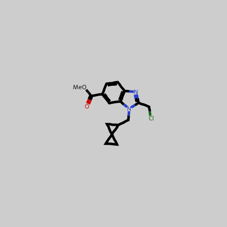 COC(=O)c1ccc2nc(CCl)n(CC3CC34CC4)c2c1